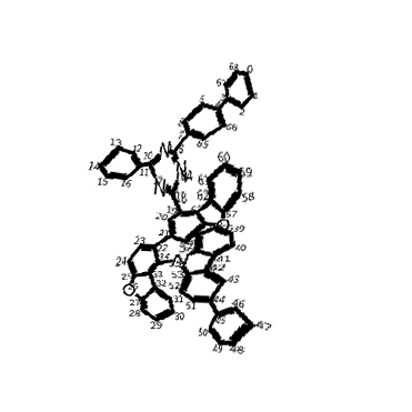 c1ccc(-c2ccc(-c3nc(-c4ccccc4)nc(-c4cc(-c5ccc6oc7ccccc7c6c5-n5c6ccccc6c6cc(-c7ccccc7)ccc65)cc5oc6ccccc6c45)n3)cc2)cc1